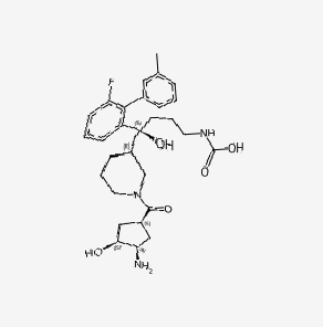 Cc1cccc(-c2c(F)cccc2[C@](O)(CCCNC(=O)O)[C@@H]2CCCN(C(=O)[C@H]3C[C@@H](N)[C@@H](O)C3)C2)c1